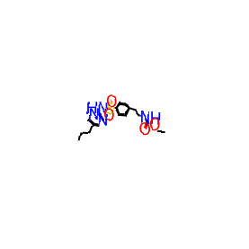 CCCc1cnc(NS(=O)(=O)c2ccc(CCNC(=O)OCC)cc2)nc1